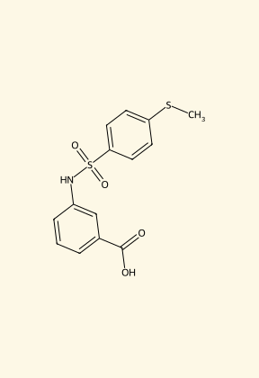 CSc1ccc(S(=O)(=O)Nc2cccc(C(=O)O)c2)cc1